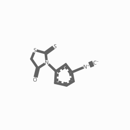 [C-]#[N+]c1cccc(N2C(=O)CSC2=S)c1